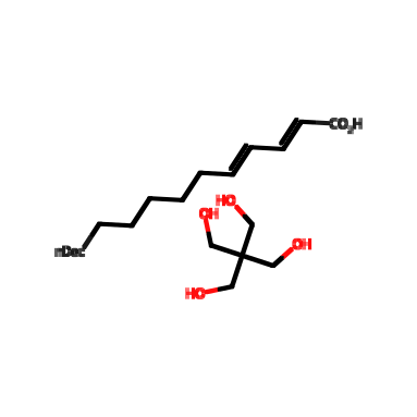 CCCCCCCCCCCCCCCC=CC=CC(=O)O.OCC(CO)(CO)CO